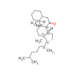 CC(C)CCC[C@@H](C)[C@H]1CC[C@H]2[C@@H]3C(=O)CC4CCCC[C@]4(C)[C@H]3CC[C@]12C